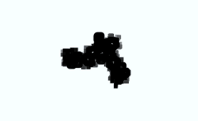 O=C1OC2(c3ccccc31)c1ccc3cc(OS(=O)(=O)C(F)(F)F)ccc3c1Oc1c2ccc2cc(OS(=O)(=O)C(F)(F)F)ccc12